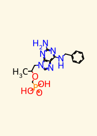 CC(Cn1cnc2c(NCc3ccccc3)nc(N)nc21)OCP(=O)(O)O